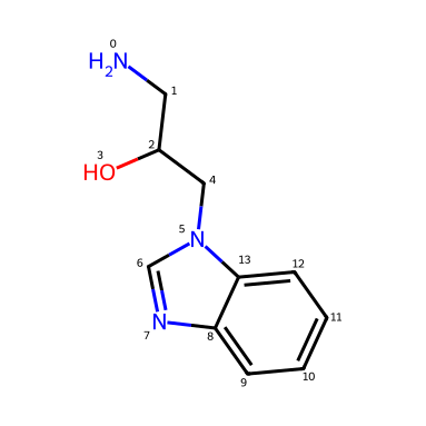 NCC(O)Cn1cnc2ccccc21